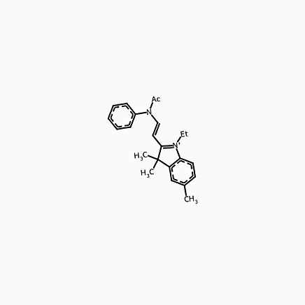 CC[N+]1=C(/C=C/N(C(C)=O)c2ccccc2)C(C)(C)c2cc(C)ccc21